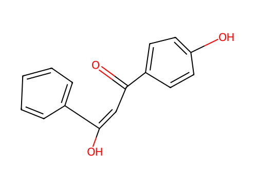 O=C(/C=C(/O)c1ccccc1)c1ccc(O)cc1